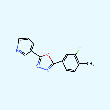 Cc1ccc(-c2nnc(-c3cccnc3)o2)cc1F